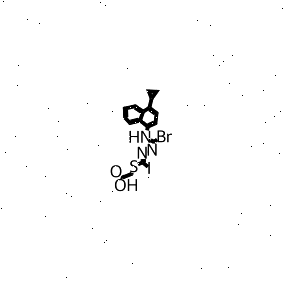 O=C(O)CS/C(I)=N/N=C(/Br)Nc1ccc(C2CC2)c2ccccc12